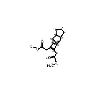 COC(=O)CC1=C(CC(=O)OC)C2C3CC(C4C=CCC43)C12